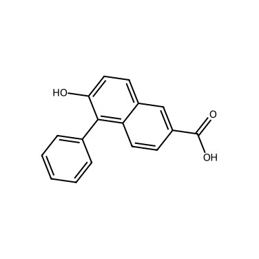 O=C(O)c1ccc2c(-c3ccccc3)c(O)ccc2c1